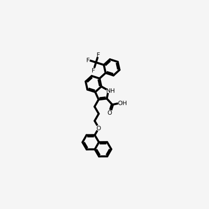 O=C(O)c1[nH]c2c(-c3ccccc3C(F)(F)F)cccc2c1CCCOc1cccc2ccccc12